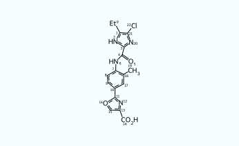 CCc1[nH]c(C(=O)Nc2ccc(-c3nc(C(=O)O)co3)cc2C)nc1Cl